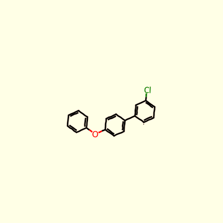 Clc1cc[c]c(-c2ccc(Oc3ccccc3)cc2)c1